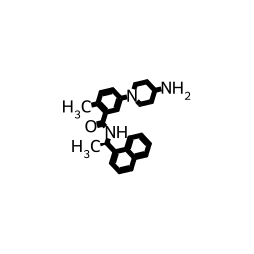 Cc1ccc(N2CCC(N)CC2)cc1C(=O)N[C@H](C)c1cccc2ccccc12